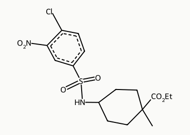 CCOC(=O)C1(C)CCC(NS(=O)(=O)c2ccc(Cl)c([N+](=O)[O-])c2)CC1